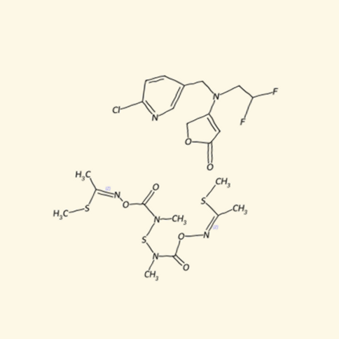 CS/C(C)=N\OC(=O)N(C)SN(C)C(=O)O/N=C(/C)SC.O=C1C=C(N(Cc2ccc(Cl)nc2)CC(F)F)CO1